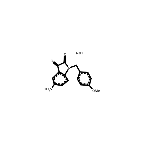 COc1ccc(CN2C(=O)C(=O)c3cc(S(=O)(=O)O)ccc32)cc1.[NaH]